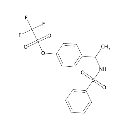 CC(NS(=O)(=O)c1ccccc1)c1ccc(OS(=O)(=O)C(F)(F)F)cc1